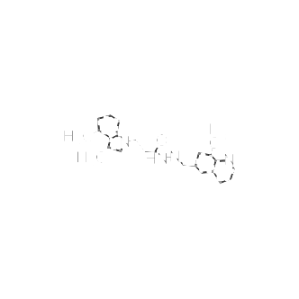 Cc1cc(C=NNC(=O)CCn2cc(C)c3c(C)cccc32)cc2cccnc12